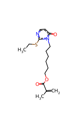 C=C(C)C(=O)OCCCCCCn1c(SCC)nccc1=O